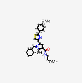 COCCNC(=O)c1cc(-c2csc(-c3ccc(OC)cc3)n2)n(CC2CCCCC2)c1C